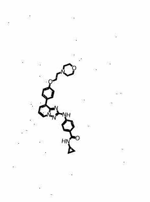 O=C(NC1CC1)c1ccc(Nc2nc3c(-c4ccc(OCCN5CCOCC5)cc4)cccn3n2)cc1